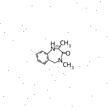 C[C@@H]1Nc2ccccc2CN(C)C1=O